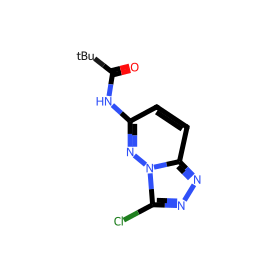 CC(C)(C)C(=O)Nc1ccc2nnc(Cl)n2n1